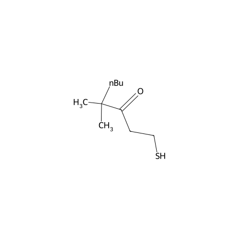 CCCCC(C)(C)C(=O)CCS